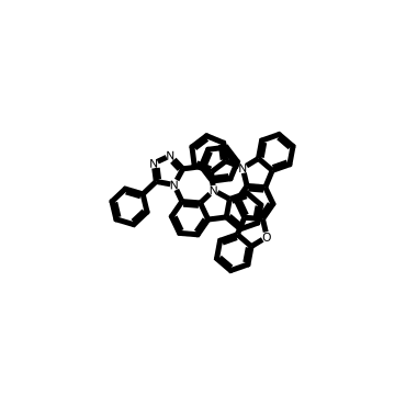 c1ccc(-c2nnc(-c3ccccc3)n2-c2cccc3c4ccccc4n(-c4ccccc4-n4c5ccccc5c5cc6oc7ccccc7c6cc54)c23)cc1